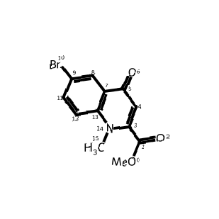 COC(=O)c1cc(=O)c2cc(Br)ccc2n1C